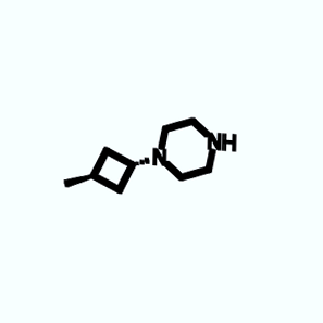 C[C@H]1C[C@H](N2CCNCC2)C1